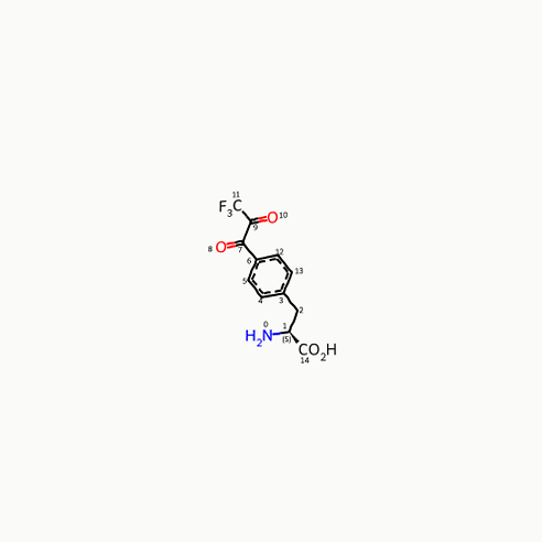 N[C@@H](Cc1ccc(C(=O)C(=O)C(F)(F)F)cc1)C(=O)O